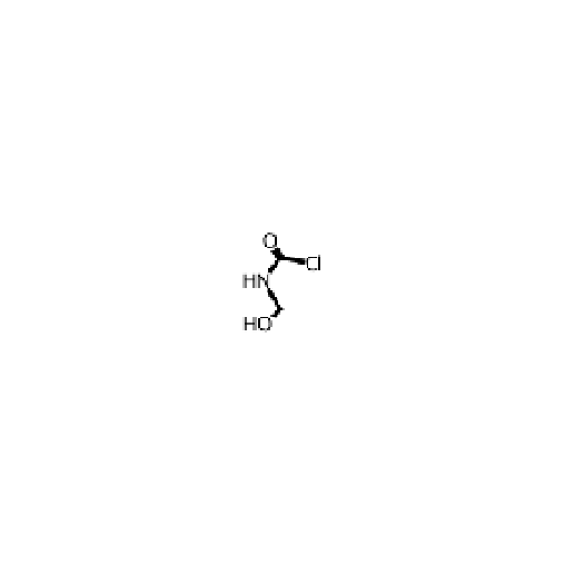 O=C(Cl)NCO